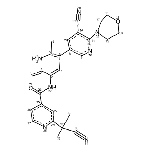 C=C/C(=C\C(=C(\C)N)c1cnc(N2CCOCC2)c(C#N)c1)NC(=O)c1ccnc(C(C)(C)C#N)c1